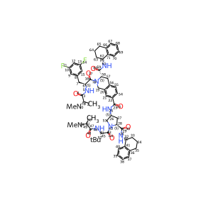 CN[C@@H](C)C(=O)N[C@@H](Cc1cc(F)cc(F)c1)C(=O)N1Cc2cc(C(=O)N[C@H]3C[C@@H](C(=O)N[C@@H]4CCCc5ccccc54)N(C(=O)[C@@H](NC(=O)[C@H](C)NC)C(C)(C)C)C3)ccc2C[C@H]1C(=O)N[C@@H]1CCCc2ccccc21